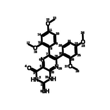 B=C1NC(=O)c2nc(-c3ccc(OC)cc3OC)c(-c3ccc(OC)cc3OC)nc2N1